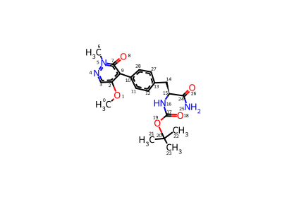 COc1cnn(C)c(=O)c1-c1ccc(C[C@H](NC(=O)OC(C)(C)C)C(N)=O)cc1